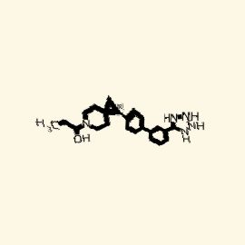 CCC(O)N1CCC2(CC1)C[C@H]2c1ccc(-c2cccc(C3NNNN3)c2)cc1